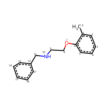 Cc1ccccc1OCCNCc1ccccc1